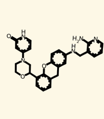 Nc1ncccc1CNc1ccc2c(c1)Cc1cccc(C3CN(c4cc[nH]c(=O)c4)CCO3)c1O2